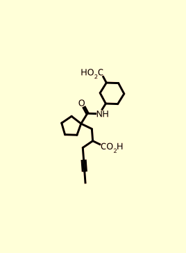 CC#CCC(CC1(C(=O)NC2CCCC(C(=O)O)C2)CCCC1)C(=O)O